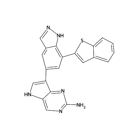 Nc1ncc2[nH]cc(-c3cc(-c4cc5ccccc5s4)c4[nH]ncc4c3)c2n1